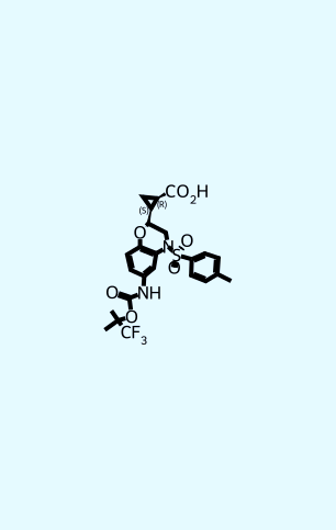 Cc1ccc(S(=O)(=O)N2CC([C@H]3C[C@H]3C(=O)O)Oc3ccc(NC(=O)OC(C)(C)C(F)(F)F)cc32)cc1